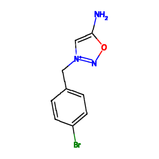 Nc1c[n+](Cc2ccc(Br)cc2)no1